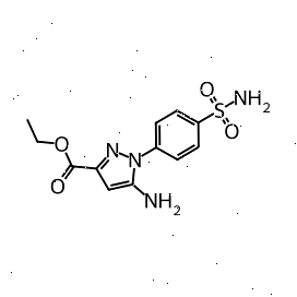 CCOC(=O)c1cc(N)n(-c2ccc(S(N)(=O)=O)cc2)n1